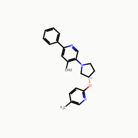 O=Cc1cc(-c2ccccc2)ncc1N1CC[C@H](Oc2ccc(C(F)(F)F)cn2)C1